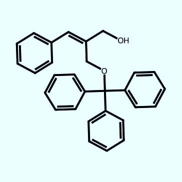 OCC(=Cc1ccccc1)COC(c1ccccc1)(c1ccccc1)c1ccccc1